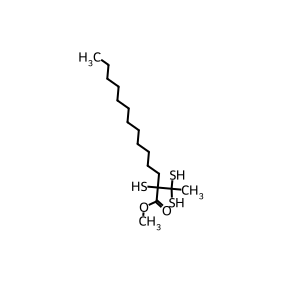 CCCCCCCCCCCCC(S)(C(=O)OC)C(C)(S)S